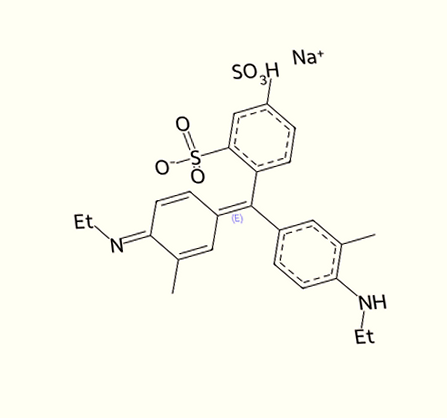 CCN=C1C=C/C(=C(/c2ccc(NCC)c(C)c2)c2ccc(S(=O)(=O)O)cc2S(=O)(=O)[O-])C=C1C.[Na+]